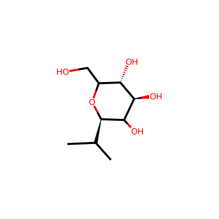 CC(C)[C@H]1OC(CO)[C@H](O)[C@@H](O)C1O